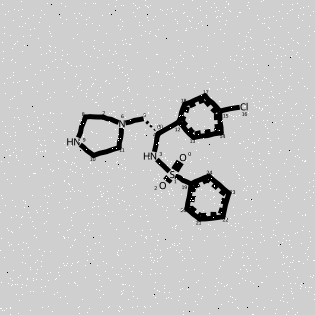 O=S(=O)(N[C@H](CN1CCNCC1)c1ccc(Cl)cc1)c1ccccc1